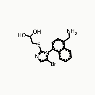 NCc1ccc(-n2c(Br)cnc2SCC(O)O)c2ccccc12